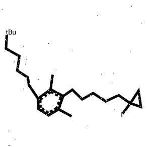 Cc1ccc(CCCCCC(C)(C)C)c(C)c1CCCCCC1(I)CC1